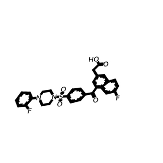 O=C(O)Cc1cc(C(=O)c2ccc(S(=O)(=O)N3CCN(c4ccccc4F)CC3)cc2)c2cc(F)ccc2c1